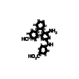 Cl.Nc1nc(Nc2ccc(C(=O)O)cc2)ncc1-c1ccccc1-c1ccccc1